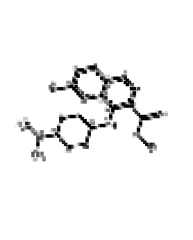 CC(C)CC(=O)c1cnc2ccc(Br)cc2c1NC1CCC(N(C)C)CC1